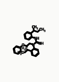 CCC(C)c1ccccc1NC(=N)N(CCOc1ccccc1)c1ccccc1C(C)CC